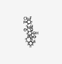 O=C(NCc1ccc(F)c(Cl)c1F)C1=CN2C(=C(O)C1O)C(=O)N1CC2CCc2cccc(F)c21